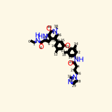 CCNC(=O)c1cc2c(-c3cc(C)cc(Oc4c(C)cc(NC(=O)CCCn5ccnc5)cc4C)c3)cn(C)c(=O)c2[nH]1